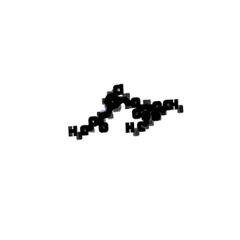 CCOC(=O)/C=C/c1ccc(Cl)c(CCOC(=O)CP(=O)(OCC)OCC)c1